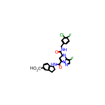 O=C(O)c1ccc2c(c1)CC[C@@H]2NC(=O)c1cc(C(=O)NCc2ccc(F)c(Cl)c2)nc2c(F)cnn12